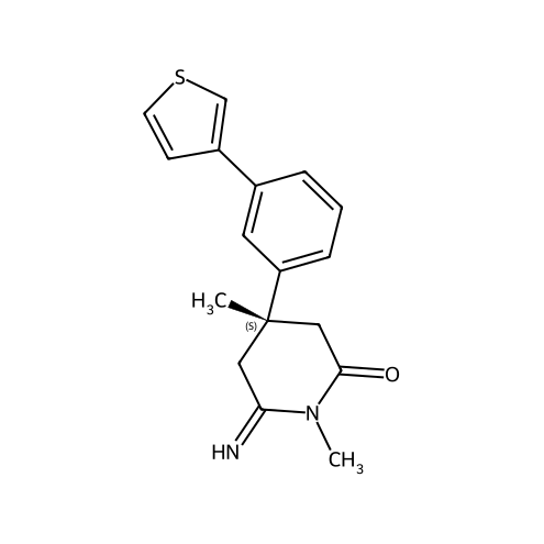 CN1C(=N)C[C@](C)(c2cccc(-c3ccsc3)c2)CC1=O